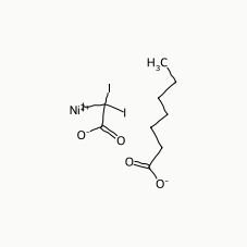 CCCCCCC(=O)[O-].O=C([O-])C(I)(I)I.[Ni+2]